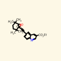 CCOC(=O)c1cnc2ccc(C#CC34OC3(C)C(C)(C)CCC4(C)C)cc2c1